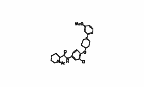 COc1cccc(N2CCC(Oc3ccc(NC(=O)C4CCCCN4C(C)=O)cc3Cl)CC2)c1